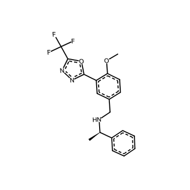 COc1ccc(CN[C@H](C)c2ccccc2)cc1-c1nnc(C(F)(F)F)o1